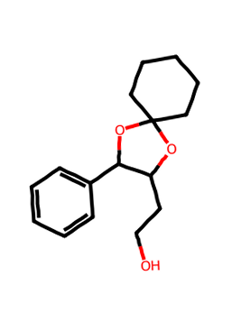 OCCC1OC2(CCCCC2)OC1c1ccccc1